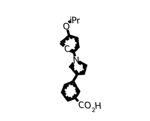 CC(C)Oc1ccc(-n2ccc(-c3cccc(C(=O)O)c3)c2)cc1